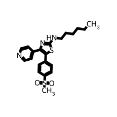 CCCCCCNc1nc(-c2ccncc2)c(-c2ccc(S(C)(=O)=O)cc2)s1